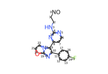 O=NCCNc1nccc(-c2c(-c3ccc(F)cc3)nc3occn23)n1